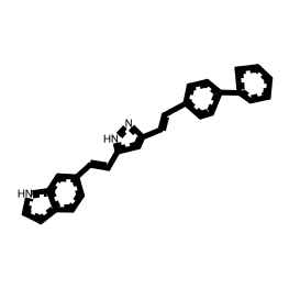 C(=C\c1cc(/C=C/c2ccc3cc[nH]c3c2)[nH]n1)/c1ccc(-c2ccccc2)cc1